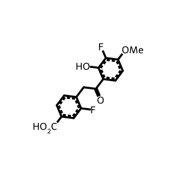 COc1ccc(C(=O)Cc2ccc(C(=O)O)cc2F)c(O)c1F